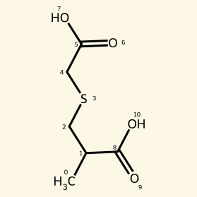 CC(CSCC(=O)O)C(=O)O